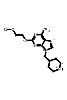 CCOCCOc1nc(N)c2ncn(CC3CCNCC3)c2n1